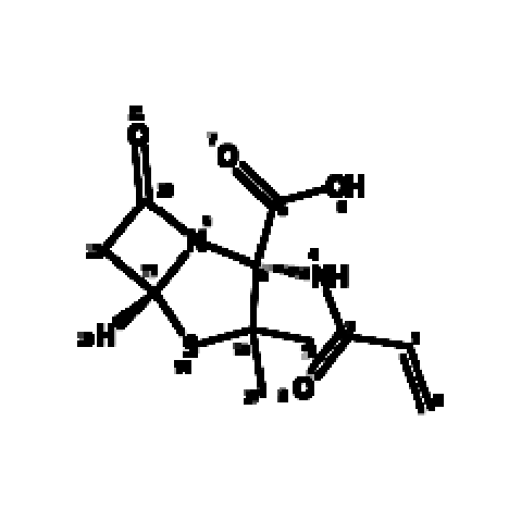 C=CC(=O)N[C@@]1(C(=O)O)N2C(=O)C[C@H]2SC1(C)C